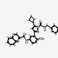 O=C(Nc1ccc(O)c(-c2cc(C3CCC3)n(C(=O)NCc3ccccc3)n2)c1)c1cnc2ccccc2n1